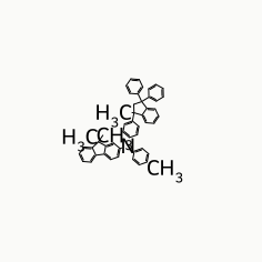 Cc1ccc(N(c2ccc(C3(C)CC(c4ccccc4)(c4ccccc4)c4ccccc43)cc2)c2ccc3c(c2)C(C)(C)c2ccccc2-3)cc1